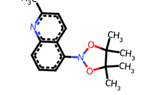 Cc1ccc2c(N3OC(C)(C)C(C)(C)O3)cccc2n1